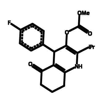 COC(=O)OC1=C(C(C)C)NC2=C(C(=O)CCC2)C1c1ccc(F)cc1